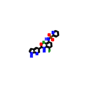 O=C(Nc1c(F)ccc(NS(=O)(=O)c2ccccn2)c1F)c1cnc2[nH]ccc2c1